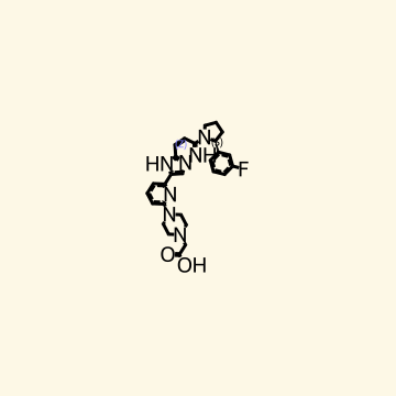 N=C(/C=C\c1ncc(-c2cccc(N3CCN(CC(=O)O)CC3)n2)[nH]1)N1CCC[C@H]1c1cccc(F)c1